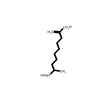 C=C(CCCCCCC(C)CCCCCCC)C(=O)O